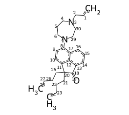 C=CCN1CCCN(c2ccc3c4c(cccc24)C(=O)C3(CCCC)CCCC)CC1